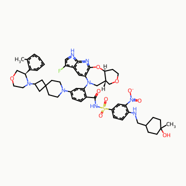 Cc1ccccc1[C@@H]1COCCN1C1CC2(CCN(c3ccc(C(=O)NS(=O)(=O)c4ccc(NCC5CCC(C)(O)CC5)c([N+](=O)[O-])c4)c(N4C[C@H]5COCC[C@@H]5Oc5nc6[nH]cc(F)c6cc54)c3)CC2)C1